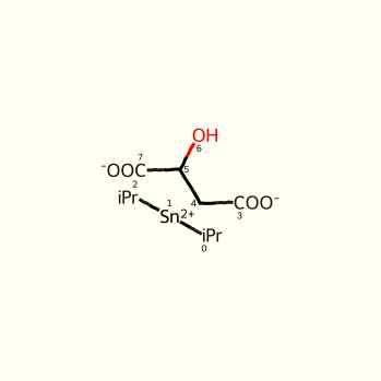 C[CH](C)[Sn+2][CH](C)C.O=C([O-])CC(O)C(=O)[O-]